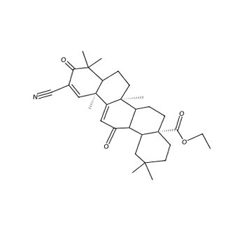 CCOC(=O)[C@@]12CCC3C(C(=O)C=C4[C@@]5(C)C=C(C#N)C(=O)C(C)(C)C5CC[C@]43C)C1CC(C)(C)CC2